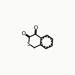 O=C1S[CH]c2ccccc2C1=O